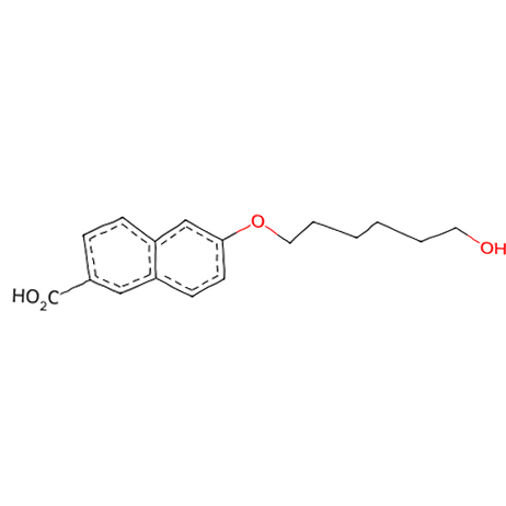 O=C(O)c1ccc2cc(OCCCCCCO)ccc2c1